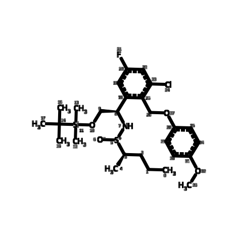 CCC[C@@H](C)[S+]([O-])N[C@@H](CO[Si](C)(C)C(C)(C)C)c1cc(F)cc(Cl)c1COc1ccc(OC)cc1